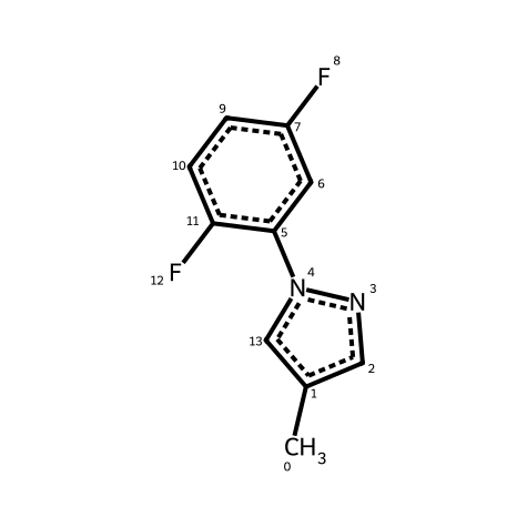 Cc1cnn(-c2cc(F)ccc2F)c1